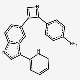 Nc1ccc(C2=NC=C2c2ccc3ncc(C4=CC=CCN4)n3c2)cc1